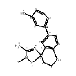 CN1O[C@]2(CCOc3ccc(-c4cccc(C#N)c4)cc32)N=C1N